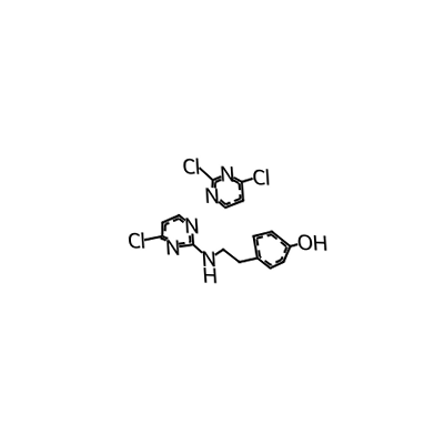 Clc1ccnc(Cl)n1.Oc1ccc(CCNc2nccc(Cl)n2)cc1